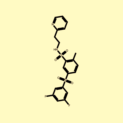 Cc1ccc(S(=O)(=O)c2cc(F)cc(F)c2)cc1S(=O)(=O)NCCc1ccccn1